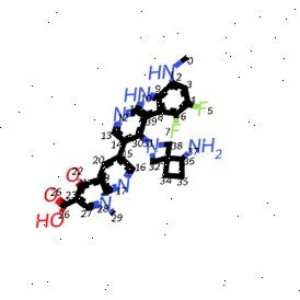 CNc1cc(F)c(F)c2c1[nH]c1ncc(-c3cnc4c(c3)c(=O)c(C(=O)O)cn4C)c(N3CC4(CCC4N)C3)c12